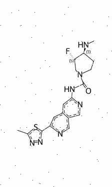 CN[C@H]1CCN(C(=O)Nc2cc3cc(-c4nnc(C)s4)ncc3cn2)C[C@@H]1F